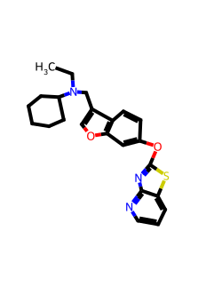 CCN(Cc1coc2cc(Oc3nc4ncccc4s3)ccc12)C1CCCCC1